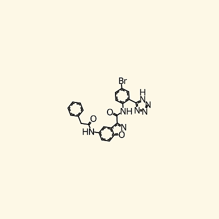 O=C(Cc1ccccc1)Nc1ccc2onc(C(=O)Nc3ccc(Br)cc3-c3nnn[nH]3)c2c1